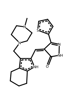 CN1CCN(Cc2c(C=C3C(=O)NN=C3c3cccs3)[nH]c3c2CCCC3)CC1